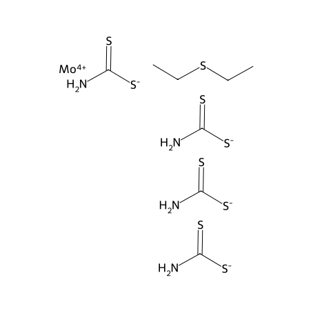 CCSCC.NC(=S)[S-].NC(=S)[S-].NC(=S)[S-].NC(=S)[S-].[Mo+4]